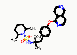 CC1CCCC(C)N1S(=O)(=O)N[C@@](C)(Cc1ccc(Oc2nccc3cnccc23)cc1)C(=O)O